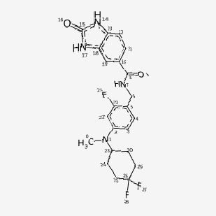 CN(c1ccc(CNC(=O)c2ccc3[nH]c(=O)[nH]c3c2)c(F)c1)C1CCC(F)(F)CC1